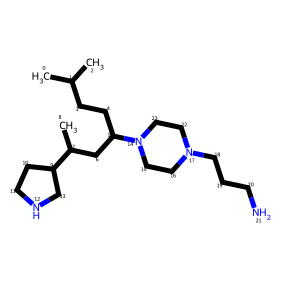 CC(C)CCC(CC(C)C1CCNC1)N1CCN(CCCN)CC1